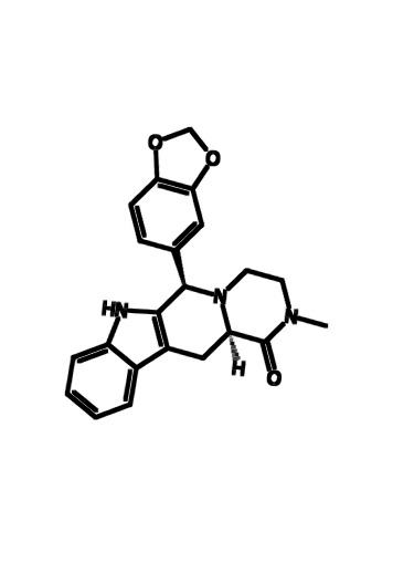 CN1CCN2[C@H](c3ccc4c(c3)OCO4)c3[nH]c4ccccc4c3C[C@@H]2C1=O